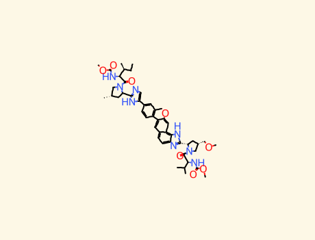 CC[C@H](C)[C@H](NC(=O)OC)C(=O)N1C[C@@H](C)CC1c1ncc(-c2ccc3c(c2)COc2cc4c(ccc5nc([C@@H]6C[C@H](COC)CN6C(=O)[C@@H](NC(=O)OC)C(C)C)[nH]c54)cc2-3)[nH]1